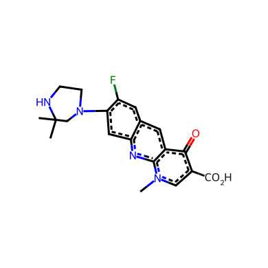 Cn1cc(C(=O)O)c(=O)c2cc3cc(F)c(N4CCNC(C)(C)C4)cc3nc21